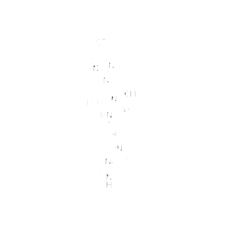 C[C@@H]1CN(c2ncc(C(F)(F)F)cn2)C[C@H](C)N1C(=O)NC1CC2(C1)CN(Cc1c[nH]cn1)C2